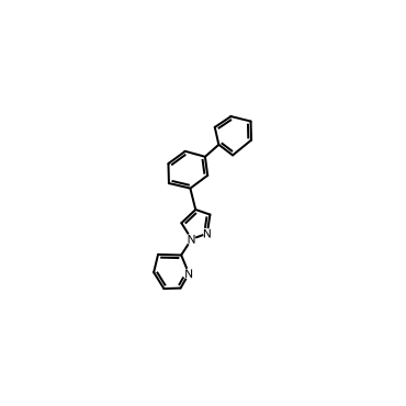 c1ccc(-c2cccc(-c3cnn(-c4ccccn4)c3)c2)cc1